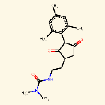 Cc1cc(C)c(C2C(=O)CC(CCNC(=O)N(C)C)C2=O)c(C)c1